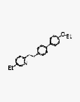 CCOc1ccc(-c2ccc(CCc3ccc(CC)cn3)cc2)cc1